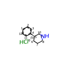 Cl.c1ccc([C@@H]2CCCNC2)cc1